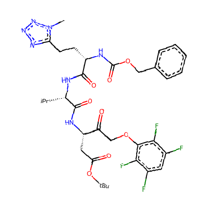 CC(C)[C@H](NC(=O)[C@H](CCc1nnnn1C)NC(=O)OCc1ccccc1)C(=O)N[C@@H](CC(=O)OC(C)(C)C)C(=O)COc1c(F)c(F)cc(F)c1F